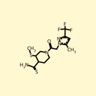 CSC1CN(C(=O)Cn2nc(C(F)(F)F)cc2C)CCC1C(N)=S